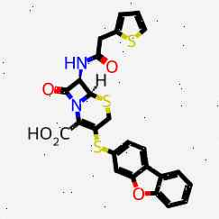 O=C(Cc1cccs1)N[C@@H]1C(=O)N2C(C(=O)O)=C(Sc3ccc4c(c3)oc3ccccc34)CS[C@H]12